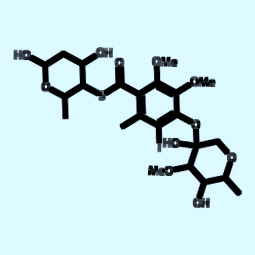 COc1c(OC2(O)COC(C)C(O)C2OC)c(I)c(C)c(C(=O)SC2C(O)CC(O)OC2C)c1OC